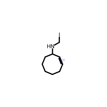 ICNC1/C=C\CCCCC1